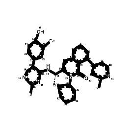 Cc1cc(-c2cccc3cc([C@H](C)Nc4nc(C)ncc4-c4ccc(O)c(F)c4)n(-c4ccccc4)c(=O)c23)ccn1